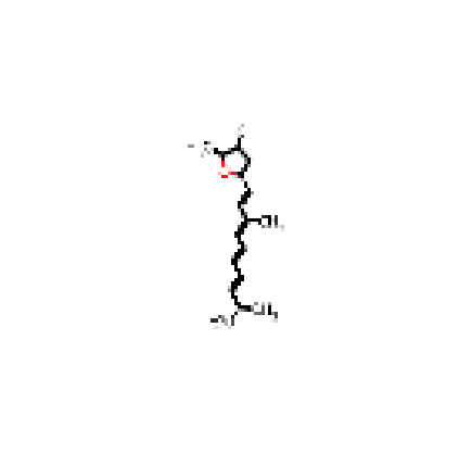 CC(/C=C/[C@@H]1CC(C)C(C)O1)=C\C=C\C=C\[C@@H](C)C(C)(C)C